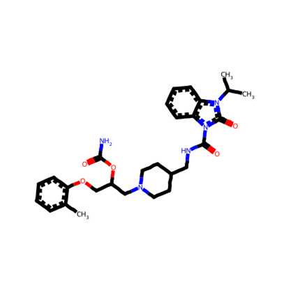 Cc1ccccc1OCC(CN1CCC(CNC(=O)n2c(=O)n(C(C)C)c3ccccc32)CC1)OC(N)=O